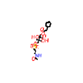 CC(=O)NCCCS(=O)(=O)OCC(C)(C)[C@@](O)(COC(=O)Cc1ccccc1)C(=O)O